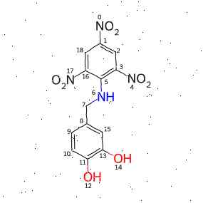 O=[N+]([O-])c1cc([N+](=O)[O-])c(NCc2ccc(O)c(O)c2)c([N+](=O)[O-])c1